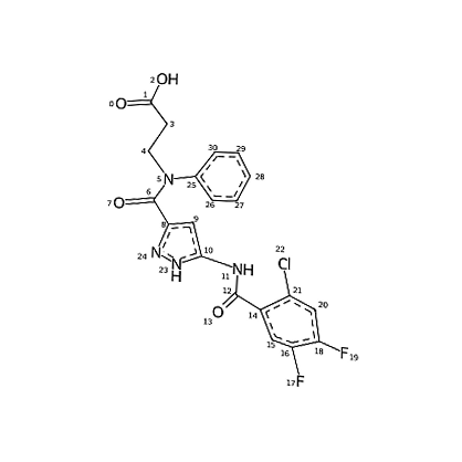 O=C(O)CCN(C(=O)c1cc(NC(=O)c2cc(F)c(F)cc2Cl)[nH]n1)c1ccccc1